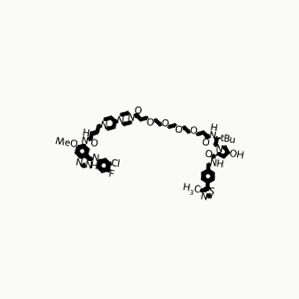 COc1cc2ncnc(Nc3ccc(F)c(Cl)c3)c2cc1NC(=O)/C=C/CN1CCC(N2CCN(C(=O)CCOCCOCCOCCOCCC(=O)N[C@H](CN3C[C@H](O)C[C@H]3C(=O)NCc3ccc(-c4scnc4C)cc3)C(C)(C)C)CC2)CC1